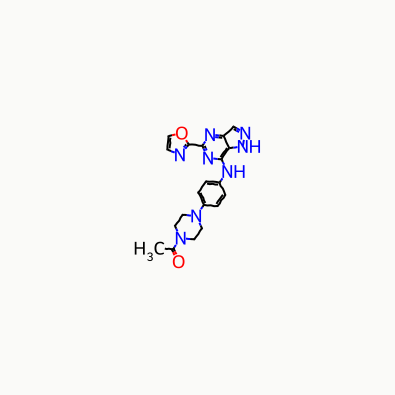 CC(=O)N1CCN(c2ccc(Nc3nc(-c4ncco4)nc4cn[nH]c34)cc2)CC1